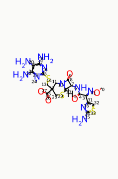 CON=C(C(=O)NC1C(=O)N2CC(CSc3nc(N)c(N)c(N)[n+]3C)(C(=O)[O-])CS[C@H]12)c1csc(N)n1